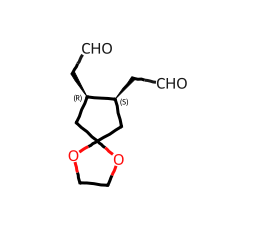 O=CC[C@@H]1CC2(C[C@@H]1CC=O)OCCO2